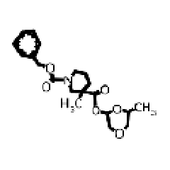 CC1COCC(OC(=O)C2(C)CCCN(C(=O)OCc3ccccc3)C2)O1